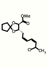 COC(=O)[C@@H]1OC2(CCCC2)O[C@H]1C/C=C\C=C/C(C)Cl